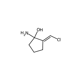 NC1(O)CCCC1=CCl